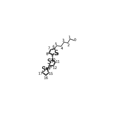 CCCCCCc1ccc(-c2ccc(-c3cccs3)s2)s1